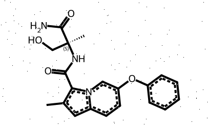 Cc1cc2ccc(Oc3ccccc3)cn2c1C(=O)N[C@@](C)(CO)C(N)=O